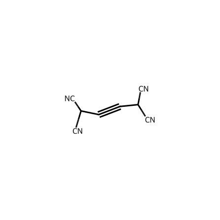 N#CC(C#N)C#CC(C#N)C#N